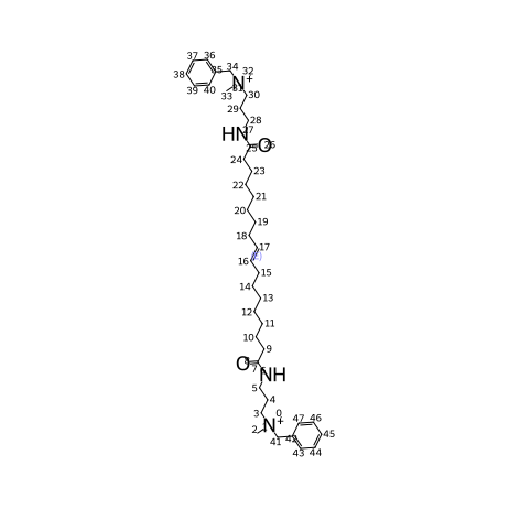 C[N+](C)(CCCNC(=O)CCCCCCC/C=C/CCCCCCCC(=O)NCCC[N+](C)(C)Cc1ccccc1)Cc1ccccc1